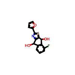 OC1c2cccc(F)c2C(O)c2sc(-c3ccco3)nc21